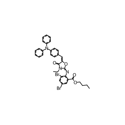 CCCCOC(=O)c1cc(Br)cc(Br)c1/N=C1/O/C(=C/c2ccc(N(c3ccccc3)c3ccccc3)cc2)C(=O)N1CC